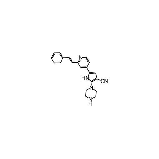 N#Cc1cc(-c2ccnc(C=Cc3ccccc3)c2)[nH]c1N1CCNCC1